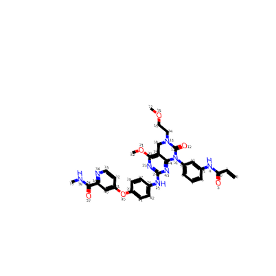 C=CC(=O)Nc1cccc(N2C(=O)N(CCOC)Cc3c(OC)nc(Nc4ccc(Oc5ccnc(C(=O)NC)c5)cc4)nc32)c1